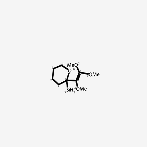 COC(OC)=C(OC)C1([SiH3])CCCCO1